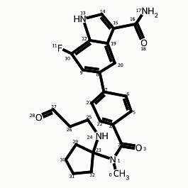 CN(C(=O)c1ccc(-c2cc(F)c3[nH]cc(C(N)=O)c3c2)cc1)C1(NCCC=O)CCCC1